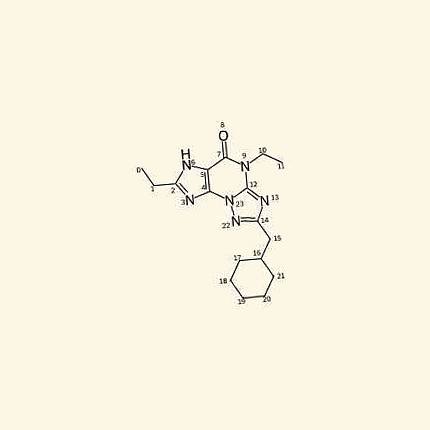 CCc1nc2c([nH]1)c(=O)n(CC)c1nc(CC3CCCCC3)nn21